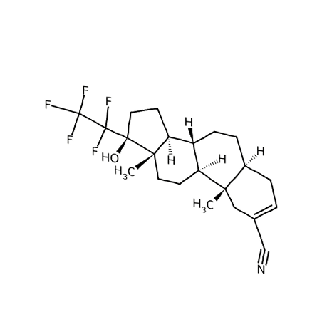 C[C@]12CC(C#N)=CC[C@@H]1CC[C@@H]1[C@@H]2CC[C@@]2(C)[C@H]1CC[C@@]2(O)C(F)(F)C(F)(F)F